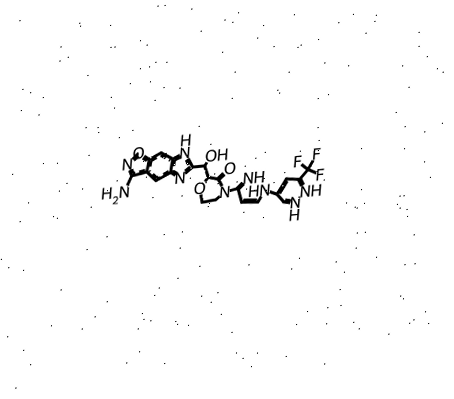 N=C/C(=C\C(=N)C(F)(F)F)N/C=C\C(=N)N1CCOC(C(O)c2nc3cc4c(N)noc4cc3[nH]2)C1=O